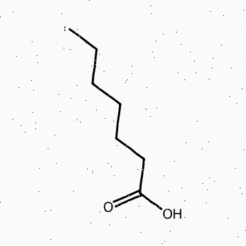 [CH]CCCCCC(=O)O